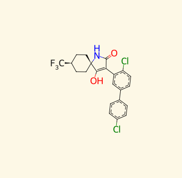 O=C1N[C@]2(CC[C@H](C(F)(F)F)CC2)C(O)=C1c1cc(-c2ccc(Cl)cc2)ccc1Cl